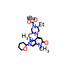 CC[C@@H]1CN(c2cc(=O)n(C)c3cn(C4CCCCO4)nc23)[C@@H](C)CN1C(=O)OC(C)(C)C